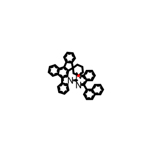 c1ccc2c(c1)-c1c(c3c(c4ccccc14)c1ccccc1n3-c1nc(-c3cccc4ccccc34)c3ccccc3n1)C21CCCCC1